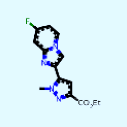 CCOC(=O)c1cc(-c2cn3ccc(F)cc3n2)n(C)n1